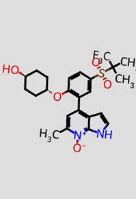 Cc1cc(-c2cc(S(=O)(=O)C(C)(C)C(F)(F)F)ccc2O[C@H]2CC[C@H](O)CC2)c2cc[nH]c2[n+]1[O-]